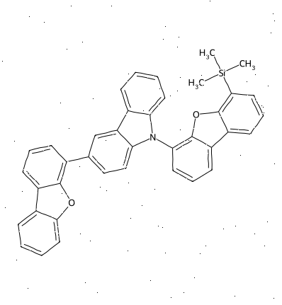 C[Si](C)(C)c1cccc2c1oc1c(-n3c4ccccc4c4cc(-c5cccc6c5oc5ccccc56)ccc43)cccc12